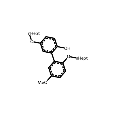 CCCCCCCOc1ccc(O)c(-c2cc(OC)ccc2OCCCCCCC)c1